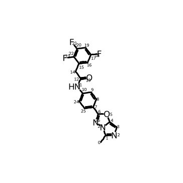 Cc1ncc2oc(-c3ccc(NC(=O)Cc4cc(F)cc(F)c4F)cc3)nn12